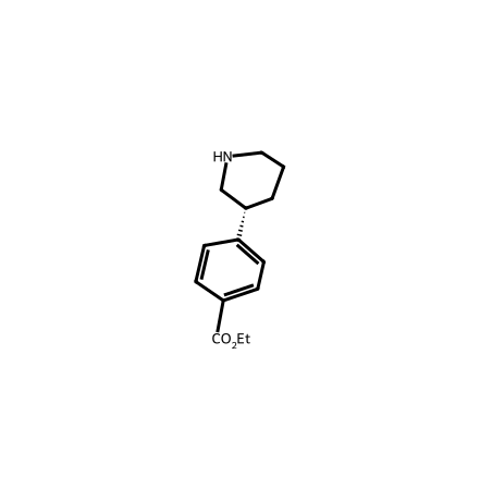 CCOC(=O)c1ccc([C@H]2CCCNC2)cc1